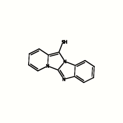 Sc1c2ccccn2c2nc3ccccc3n12